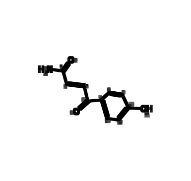 NC(=O)/C=C/C(=O)c1ccc(O)cc1